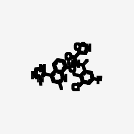 Cc1cc(-c2ncnn2C)c2cccc(OCc3c(Cl)cc(F)cc3[C@H](C)NC(=O)c3cnco3)c2n1